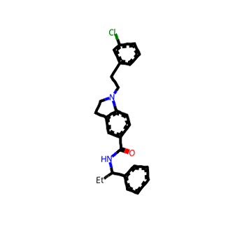 CCC(NC(=O)c1ccc2c(c1)CCN2CCc1cccc(Cl)c1)c1ccccc1